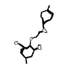 CC1=CCC(OCCOC2C(Cl)CC(C)CC2Cl)CC1